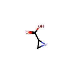 O=C(O)C1C[N]1